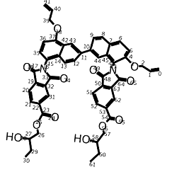 C=CCOc1ccc2ccc(-c3ccc4c(N5C(=O)c6ccc(C(=O)OCC(O)CC)cc6C5=O)ccc(OCC=C)c4c3)cc2c1N1C(=O)c2ccc(C(=O)OCC(O)CC)cc2C1=O